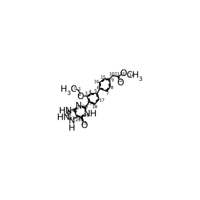 CCOc1cc(-c2ccc(CC(=O)OC)cc2)ccc1-c1nc2c(c(=O)[nH]1)NNN2